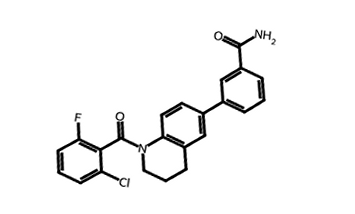 NC(=O)c1cccc(-c2ccc3c(c2)CCCN3C(=O)c2c(F)cccc2Cl)c1